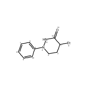 CCC1CCN(c2ccccc2)NC1=O